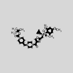 COc1cc(C)c(S(=O)(=O)N(Cc2nc(C(=O)N3CCN(CC4CCN(C(=O)OC(C)(C)C)CC4)CC3)co2)C2CC2)c(C)c1